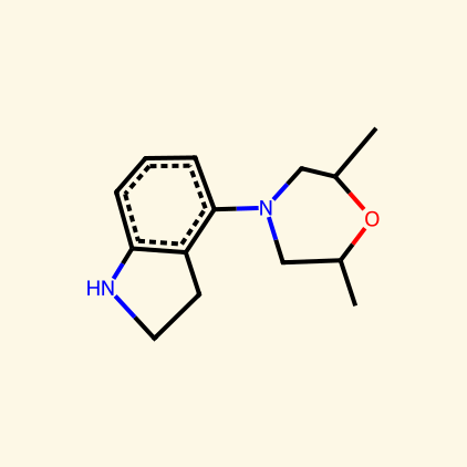 CC1CN(c2cccc3c2CCN3)CC(C)O1